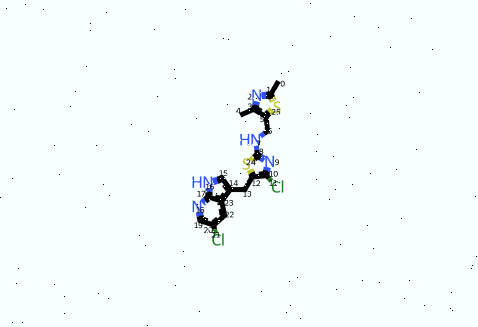 Cc1nc(C)c(CNc2nc(Cl)c(Cc3c[nH]c4ncc(Cl)cc34)s2)s1